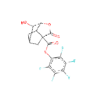 O=C(Oc1c(F)c(F)c(F)c(F)c1F)C12CC3CC1C(OC2=O)C3O